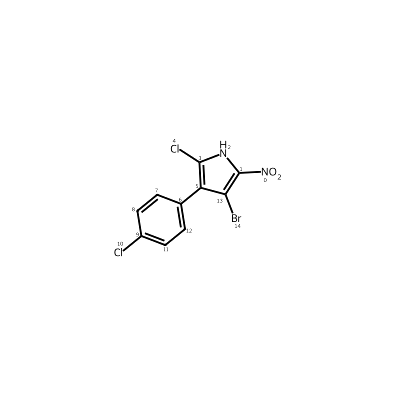 O=[N+]([O-])c1[nH]c(Cl)c(-c2ccc(Cl)cc2)c1Br